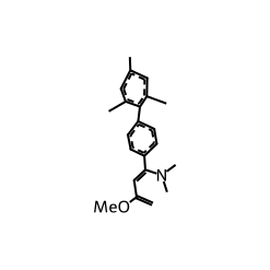 C=C(/C=C(/c1ccc(-c2c(C)cc(C)cc2C)cc1)N(C)C)OC